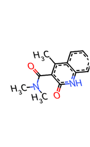 Cc1c(C(=O)N(C)C)c(=O)[nH]c2ccccc12